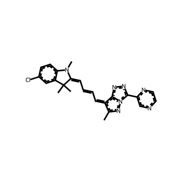 Cc1nn2c(-c3cnccn3)nnc2\c1=C/C=C/C=C1/N(C)c2ccc(Cl)cc2C1(C)C